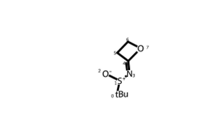 CC(C)(C)[S+]([O-])N=C1CCO1